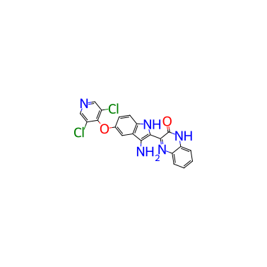 Nc1c(-c2nc3ccccc3[nH]c2=O)[nH]c2ccc(Oc3c(Cl)cncc3Cl)cc12